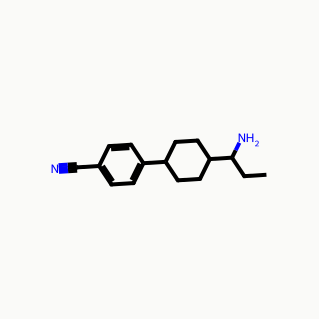 CCC(N)C1CCC(c2ccc(C#N)cc2)CC1